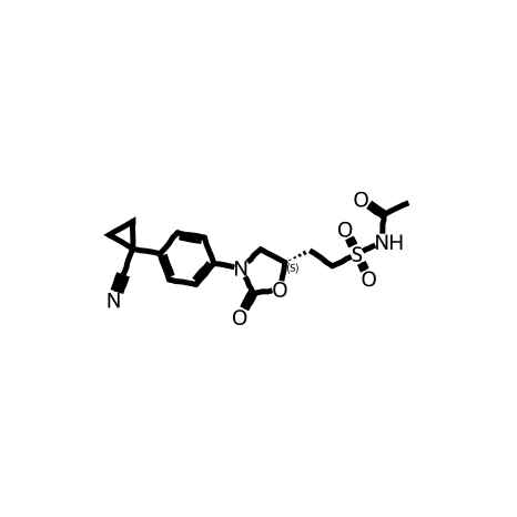 CC(=O)NS(=O)(=O)CC[C@H]1CN(c2ccc(C3(C#N)CC3)cc2)C(=O)O1